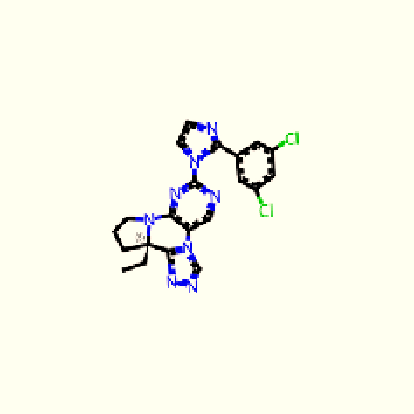 CC[C@@]12CCCN1c1nc(-n3ccnc3-c3cc(Cl)cc(Cl)c3)ncc1-n1cnnc12